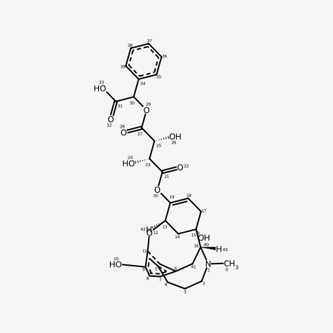 CN1CCCc2c3ccc(O)c2O[C@@H]2C[C@@](O)(CC=C2OC(=O)[C@H](O)[C@@H](O)C(=O)OC(C(=O)O)c2ccccc2)[C@H]1C3